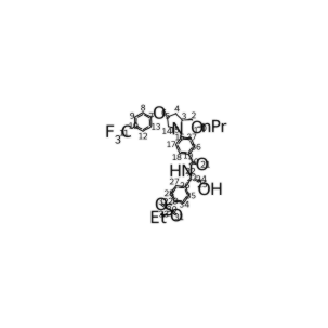 CCCOC[C@@H]1C[C@@H](Oc2ccc(C(F)(F)F)cc2)CN1c1ccc(C(=O)N[C@@H](CO)c2ccc(S(=O)(=O)CC)cc2)cc1